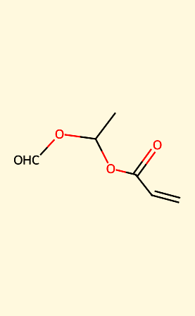 C=CC(=O)OC(C)OC=O